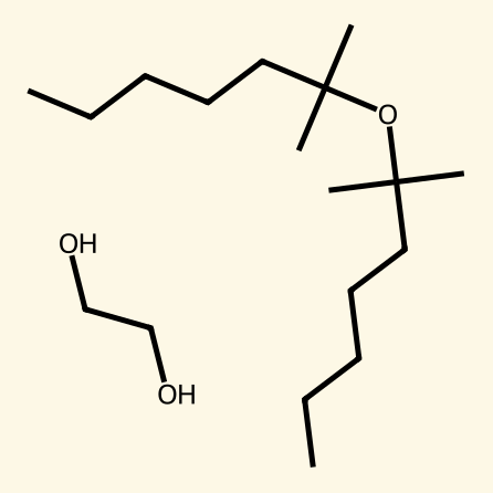 CCCCCC(C)(C)OC(C)(C)CCCCC.OCCO